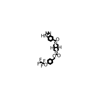 O=C(OCc1ccc(OC(F)(F)C(F)F)cc1)N1C[C@@H]2CN(C(=O)c3ccc4[nH]nnc4c3)C[C@H]2C1